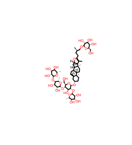 CC1=C(CC[C@@H](C)CO[C@@H]2O[C@H](CO)[C@@H](O)[C@H](O)[C@H]2O)O[C@H]2C[C@H]3[C@@H]4CC=C5C[C@@H](O[C@@H]6O[C@H](CO)[C@@H](O[C@@H]7O[C@@H](C)[C@H](O[C@@H]8O[C@@H](C)[C@H](O)[C@@H](O)[C@H]8O)[C@@H](O)[C@H]7O)[C@H](O)[C@H]6O[C@@H]6O[C@@H](C)[C@H](O)[C@@H](O)[C@H]6O)CC[C@]5(C)[C@H]4CC[C@]3(C)[C@@H]12